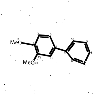 COc1ccc(-c2[c]cccc2)cc1OC